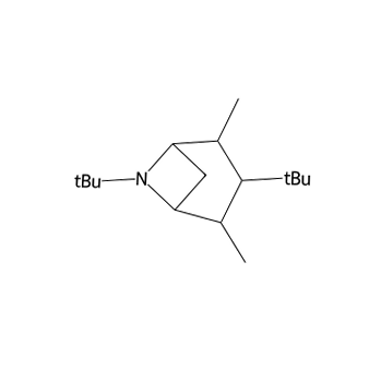 CC1C2CC(C(C)C1C(C)(C)C)N2C(C)(C)C